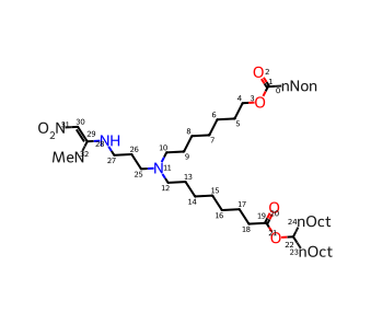 CCCCCCCCCC(=O)OCCCCCCCN(CCCCCCCC(=O)OC(CCCCCCCC)CCCCCCCC)CCCN/C(=C/[N+](=O)[O-])NC